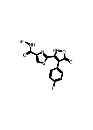 CC(C)NC(=O)c1csc(-c2[nH]oc(=O)c2-c2ccc(F)cc2)n1